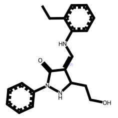 CCc1ccccc1N/C=C1\C(=O)N(c2ccccc2)NC1CCO